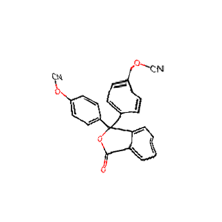 N#COc1ccc(C2(c3ccc(OC#N)cc3)OC(=O)c3ccccc32)cc1